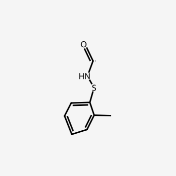 Cc1ccccc1SN[C]=O